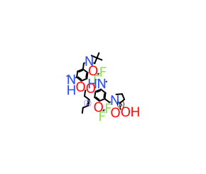 CC/C=C\CC(Oc1cc(OC(F)F)c(CN2CC(C)(C)C2)cc1NC)Oc1cc(OC(F)F)c(CN2CCC[C@H]2C(=O)O)cc1NC